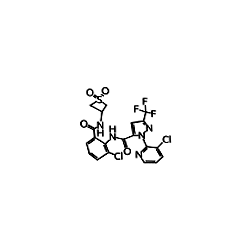 O=C(NC1CS(=O)(=O)C1)c1cccc(Cl)c1NC(=O)c1cc(C(F)(F)F)nn1-c1ncccc1Cl